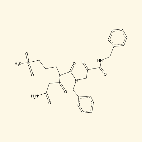 CS(=O)(=O)CCCN(C(=O)CC(N)=O)C(=O)N(CC(=O)C(=O)NCc1ccccc1)Cc1ccccc1